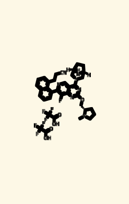 CN1CCC[C@H]1COc1nc(N2C[C@H]3CC[C@@H](C2)N3)c2cnc(-c3cccc4cccc(CCC#N)c34)c(F)c2n1.O=C(O)C(F)(F)F.O=C(O)C(F)(F)F